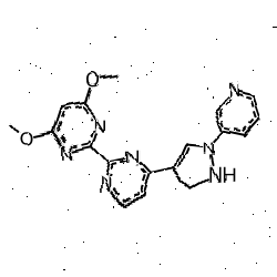 COc1cc(OC)nc(-c2nccc(C3=CN(c4cccnc4)NC3)n2)n1